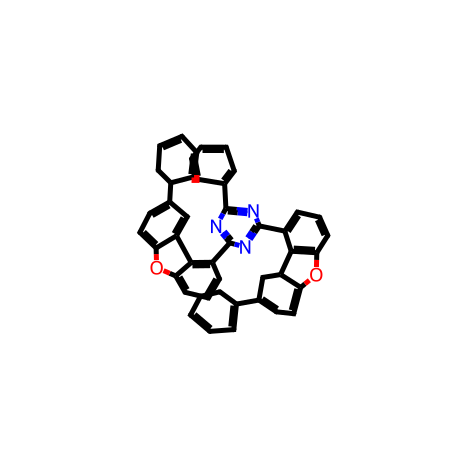 C1=CCCC(C2=CC=C3Oc4cccc(-c5nc(-c6ccccc6)nc(-c6cccc7oc8ccc(C9C=CC=CC9)cc8c67)n5)c4C3C2)=C1